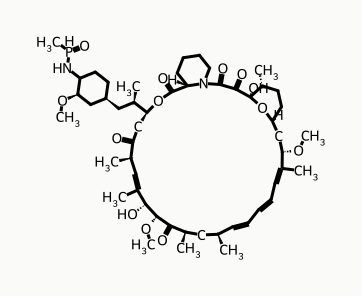 CO[C@H]1C[C@@H]2CC[C@@H](C)[C@@](O)(O2)C(=O)C(=O)N2CCCC[C@H]2C(=O)O[C@H]([C@H](C)C[C@@H]2CCC(N[PH](C)=O)[C@H](OC)C2)CC(=O)[C@H](C)/C=C(\C)[C@@H](O)[C@@H](OC)C(=O)[C@H](C)C[C@H](C)/C=C/C=C/C=C/1C